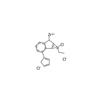 CC[Si]1(Cl)C2=C1[CH]([Zr+2])c1cccc(C3=CC=CC3)c12.[Cl-].[Cl-]